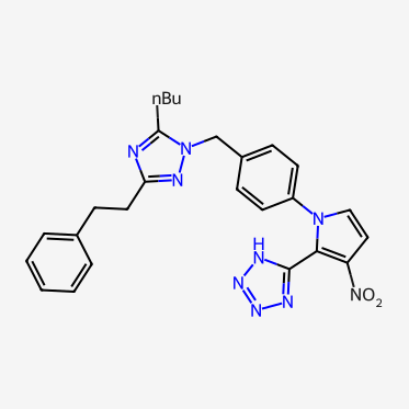 CCCCc1nc(CCc2ccccc2)nn1Cc1ccc(-n2ccc([N+](=O)[O-])c2-c2nnn[nH]2)cc1